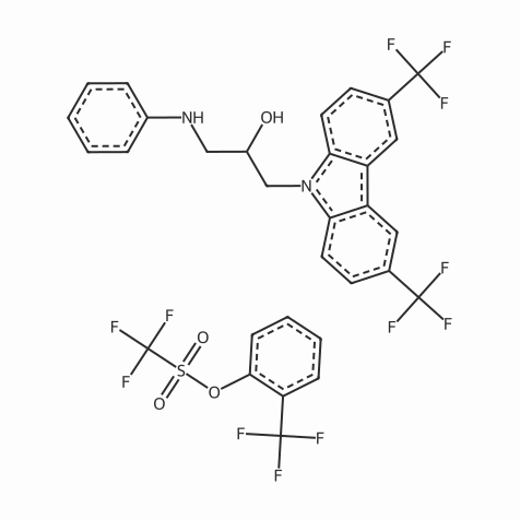 O=S(=O)(Oc1ccccc1C(F)(F)F)C(F)(F)F.OC(CNc1ccccc1)Cn1c2ccc(C(F)(F)F)cc2c2cc(C(F)(F)F)ccc21